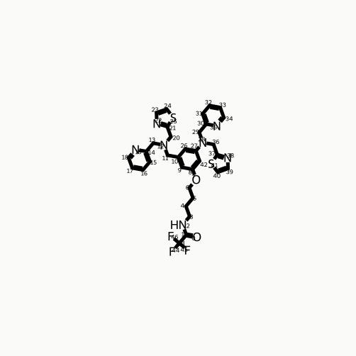 O=C(NCCCCOc1cc(CN(Cc2ccccn2)Cc2nccs2)cc(N(Cc2ccccn2)Cc2nccs2)c1)C(F)(F)F